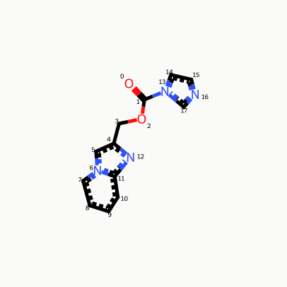 O=C(OCc1cn2ccccc2n1)n1ccnc1